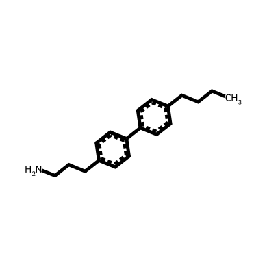 CCCCc1ccc(-c2ccc(CCCN)cc2)cc1